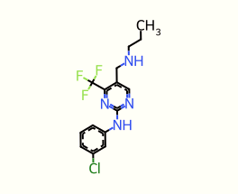 CCCNCc1cnc(Nc2cccc(Cl)c2)nc1C(F)(F)F